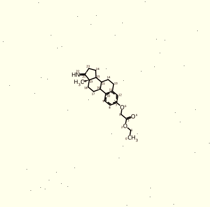 CCOC(=O)COc1ccc2c(c1)CCC1C2CC[C@]2(C)C(=N)CCC12